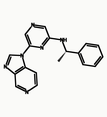 C[C@H](Nc1cncc(-n2cnc3cnccc32)n1)c1ccccc1